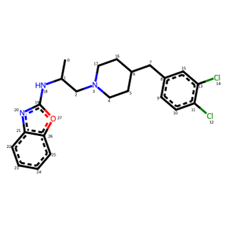 CC(CN1CCC(Cc2ccc(Cl)c(Cl)c2)CC1)Nc1nc2ccccc2o1